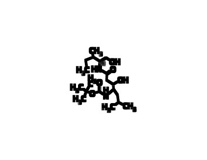 CCC(C)[C@@H](CO)NC(=O)CC(O)C(CC(C)C)NC(=O)OC(C)(C)C